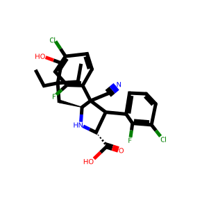 CCC(CC)(CO)C[C@@H]1N[C@@H](C(=O)O)C(c2cccc(Cl)c2F)C1(C#N)c1ccc(Cl)cc1F